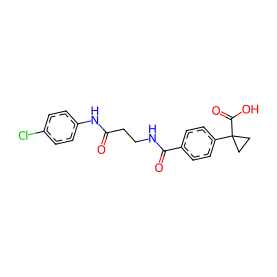 O=C(CCNC(=O)c1ccc(C2(C(=O)O)CC2)cc1)Nc1ccc(Cl)cc1